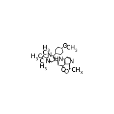 COC1CCC(c2nc(C(C)(C)C)ncc2-c2cc(=O)c3c(C(C)=O)nccc3[nH]2)CC1